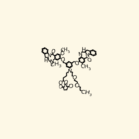 CCCOCCOCCN(CCCC(=O)ON1C(=O)CCC1=O)c1cc(COc2cc3c(cc2C)C(=O)N2c4ccccc4C[C@H]2C=N3)cc(COc2cc3c(cc2OC)C(=O)N2c4ccccc4C[C@H]2CN3C)c1